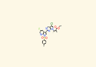 CCOC(=O)[C@@H](C)[C@H](C)n1cc(Cl)c2cnc(-c3cn(S(=O)(=O)c4ccc(C)cc4)c4ncc(F)cc34)nc21